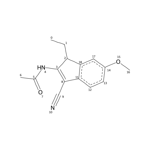 CCC1C(NC(C)=O)=C(C#N)c2ccc(OC)cc21